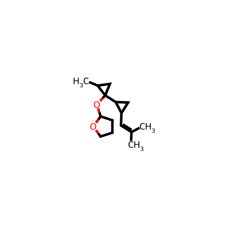 CC(C)=CC1CC1C1(OC2CCCO2)CC1C